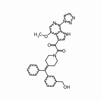 COc1cnc(-n2ccnn2)c2[nH]cc(C(=O)C(=O)N3CCC(=C(c4ccccc4)c4cccc(CO)c4)CC3)c12